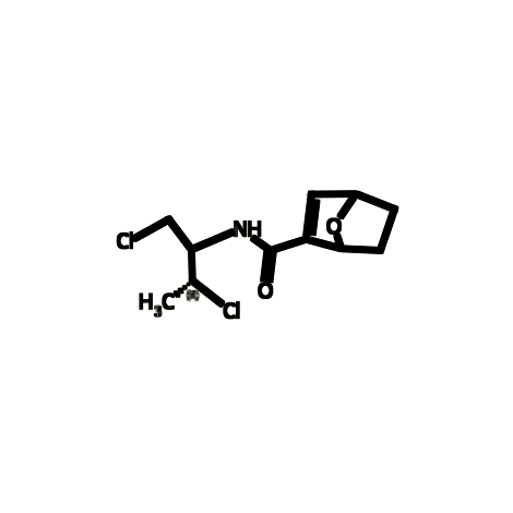 C[C@@H](Cl)C(CCl)NC(=O)C1=CC2CCC1O2